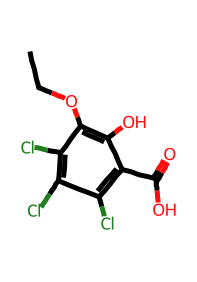 CCOc1c(O)c(C(=O)O)c(Cl)c(Cl)c1Cl